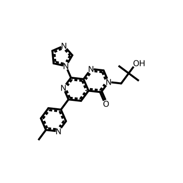 Cc1ccc(-c2cc3c(=O)n(CC(C)(C)O)cnc3c(-n3ccnc3)n2)cn1